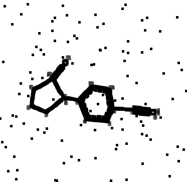 C#Cc1ccc(N2CCCC2=O)cc1